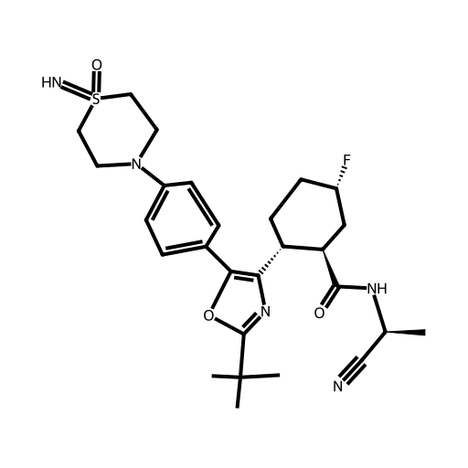 C[C@@H](C#N)NC(=O)[C@@H]1C[C@@H](F)CC[C@H]1c1nc(C(C)(C)C)oc1-c1ccc(N2CCS(=N)(=O)CC2)cc1